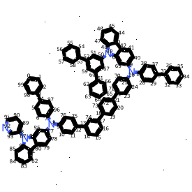 c1ccc(-c2ccc(N(c3ccc(-c4cccc(-c5ccc(-c6ccc(N(c7ccc(-c8ccccc8)cc7)c7ccc8c9ccccc9n(-c9cc(-c%10ccccc%10)cc(-c%10ccccc%10)c9)c8c7)cc6)cc5)c4)cc3)c3ccc4c5ccccc5n(-c5cccnc5)c4c3)cc2)cc1